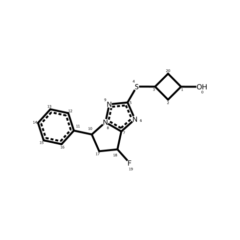 OC1CC(Sc2nc3n(n2)C(c2ccccc2)CC3F)C1